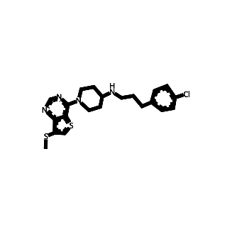 CSc1csc2c(N3CCC(NCCCc4ccc(Cl)cc4)CC3)ncnc12